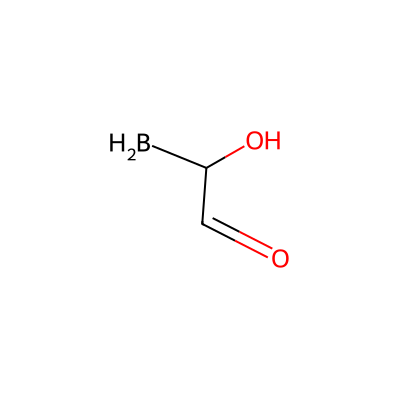 BC(O)C=O